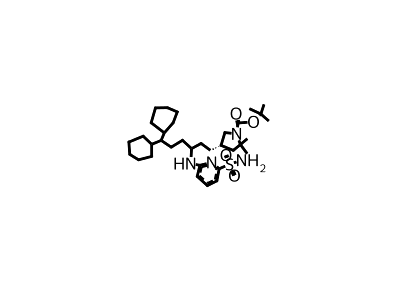 CC(C)(C)OC(=O)N1C[C@@H](CCC(CCC(C2CCCCC2)C2CCCCC2)Nc2cccc(S(N)(=O)=O)n2)CC1(C)C